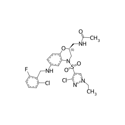 CCn1cc(S(=O)(=O)N2C[C@H](CNC(C)=O)Oc3ccc(NCc4c(F)cccc4Cl)cc32)c(Cl)n1